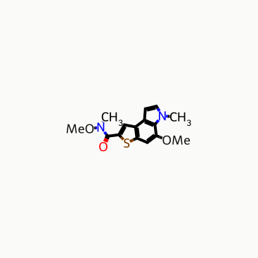 COc1cc2sc(C(=O)N(C)OC)cc2c2ccn(C)c12